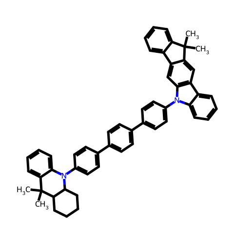 CC1(C)c2ccccc2-c2cc3c(cc21)c1ccccc1n3-c1ccc(-c2ccc(-c3ccc(N4c5ccccc5C(C)(C)C5CCCCC54)cc3)cc2)cc1